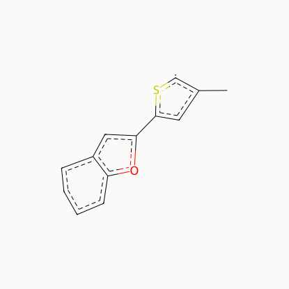 Cc1[c]sc(-c2cc3ccccc3o2)c1